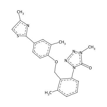 Cc1csc(-c2ccc(OCc3c(C)cccc3-n3nnn(C)c3=O)c(C)c2)n1